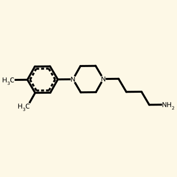 Cc1ccc(N2CCN(CCCCN)CC2)cc1C